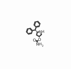 NC(=O)O[C@H]1CN[C@H](C(c2ccccc2)c2ccccc2)C1